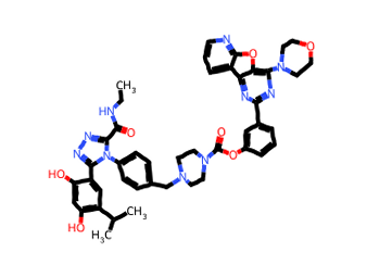 CCNC(=O)c1nnc(-c2cc(C(C)C)c(O)cc2O)n1-c1ccc(CN2CCN(C(=O)Oc3cccc(-c4nc(N5CCOCC5)c5oc6ncccc6c5n4)c3)CC2)cc1